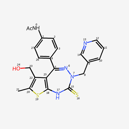 CC(=O)Nc1ccc(C2=NN(Cc3cccnc3)C(=S)Nc3sc(C)c(CO)c32)cc1